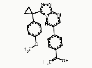 C=C(O)c1ccc(-c2cnc3nnc(C4(c5ccc(OC)cc5)CC4)n3n2)cc1